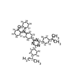 CC(C)c1ccc(-c2nc(-c3ccc(C(C)C)cc3)nc(-c3ccc(N4c5ccccc5Oc5ccccc54)cc3)n2)cc1